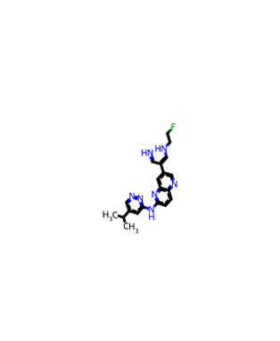 CC(C)c1cnnc(Nc2ccc3ncc(/C(C=N)=C/NCCF)cc3n2)c1